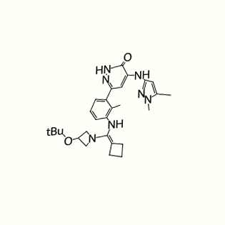 Cc1c(NC(=C2CCC2)N2CC(OC(C)(C)C)C2)cccc1-c1cc(Nc2cc(C)n(C)n2)c(=O)[nH]n1